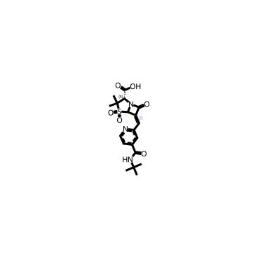 CC(C)(C)NC(=O)c1ccnc(/C=C2/C(=O)N3C2S(=O)(=O)C(C)(C)[C@@H]3C(=O)O)c1